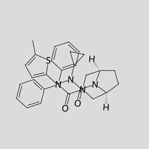 Cc1ccc(CN(C(=O)N2[C@@H]3CC[C@H]2CN(C(=O)N(c2ccccc2)c2ccccc2)C3)C2CC2)s1